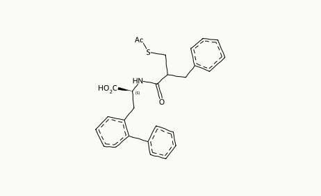 CC(=O)SCC(Cc1ccccc1)C(=O)N[C@@H](Cc1ccccc1-c1ccccc1)C(=O)O